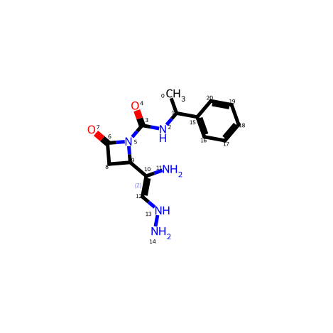 CC(NC(=O)N1C(=O)CC1/C(N)=C/NN)c1ccccc1